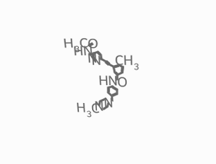 CC(=O)Nc1ccc(C#Cc2cc(C(=O)Nc3ccc(CN4CCN(C)CC4)cc3)ccc2C)nn1